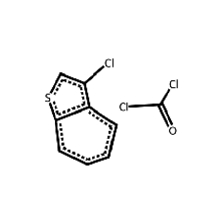 Clc1csc2ccccc12.O=C(Cl)Cl